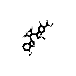 COC(=O)c1cc2c(cc1F)c(C1=C(c3coc4c(OC)cccc34)C(=O)NC1=O)cn2C